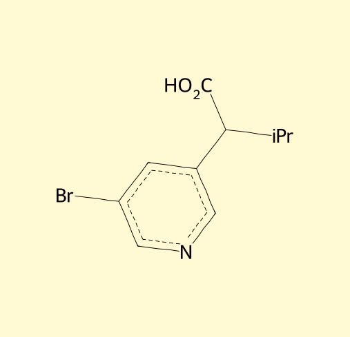 CC(C)C(C(=O)O)c1cncc(Br)c1